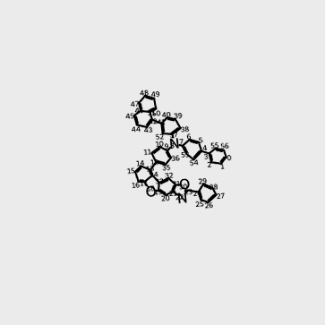 c1ccc(-c2ccc(N(c3ccc(-c4cccc5oc6cc7nc(-c8ccccc8)oc7cc6c45)cc3)c3cccc(-c4cccc5ccccc45)c3)cc2)cc1